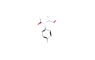 CC(=O)N(c1ccc(Cl)cc1)[C@@H](C)[C]=O